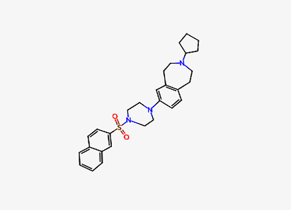 O=S(=O)(c1ccc2ccccc2c1)N1CCN(c2ccc3c(c2)CCN(C2CCCC2)CC3)CC1